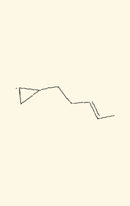 CC=CCCC1[CH]C1